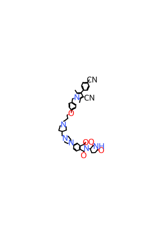 Cc1c(C#N)c(-c2ccc(C#N)cc2)c(C)n1Cc1ccc(OCCCN2CCC(CN3CCN(c4ccc5c(c4)C(=O)N(C4CCC(=O)NC4=O)C5=O)CC3)CC2)cc1